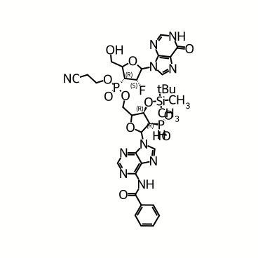 CC(C)(C)[Si](C)(C)O[C@@H]1C(COP(=O)(OCCC#N)[C@@H]2C(CO)OC(n3cnc4c(=O)[nH]cnc43)[C@@H]2F)OC(n2cnc3c(NC(=O)c4ccccc4)ncnc32)[C@@H]1[PH](=O)O